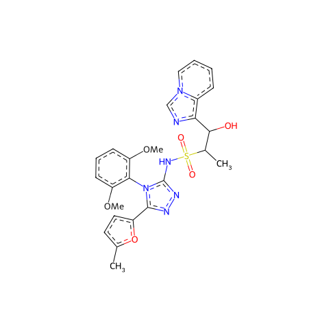 COc1cccc(OC)c1-n1c(NS(=O)(=O)C(C)C(O)c2ncn3ccccc23)nnc1-c1ccc(C)o1